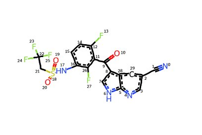 N#Cc1cnc2[nH]cc(C(=O)c3c(F)ccc(NS(=O)(=O)CC(F)(F)F)c3F)c2c1